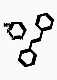 C(=Cc1ccccc1)c1ccccc1.N.c1cnnnc1